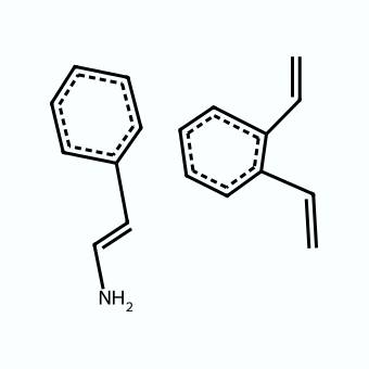 C=Cc1ccccc1C=C.NC=Cc1ccccc1